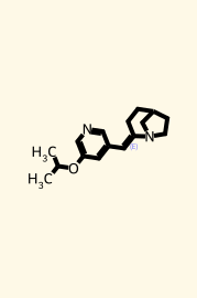 CC(C)Oc1cncc(/C=C2\CCC3CCN2C3)c1